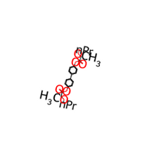 CCCOC(C)C(=O)Oc1ccc(-c2ccc(OC(=O)C(C)OCCC)cc2)cc1